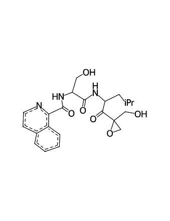 CC(C)CC(NC(=O)C(CO)NC(=O)c1nccc2ccccc12)C(=O)C1(CO)CO1